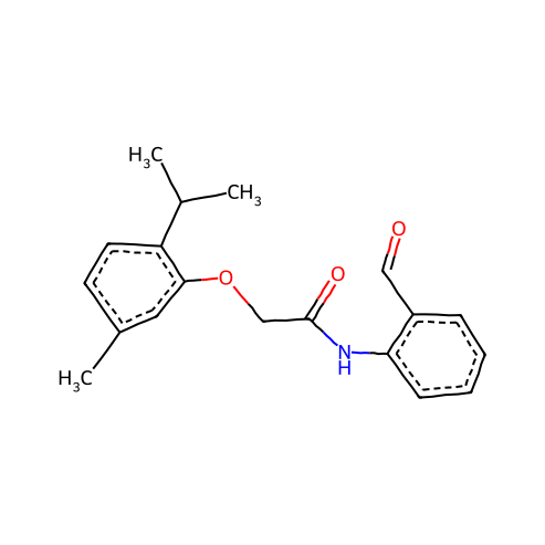 Cc1ccc(C(C)C)c(OCC(=O)Nc2ccccc2C=O)c1